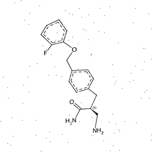 NC[C@H](Cc1ccc(COc2ccccc2F)cc1)C(N)=O